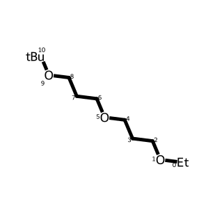 CCOCCCOCCCOC(C)(C)C